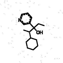 CCC(O)(c1cccnc1)C(C)C1CCCCC1